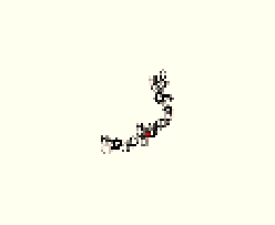 N#Cc1ccc(O[C@H]2CC[C@H](NC(=O)c3ccc(N4CCC(CN5CC(n6ccc7c(N8CCC(=O)NC8=O)cccc76)C5)CC4)nn3)CC2)cc1Cl